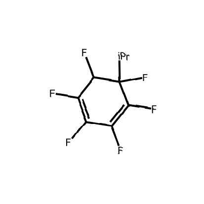 CC(C)C1(F)C(F)=C(F)C(F)=C(F)C1F